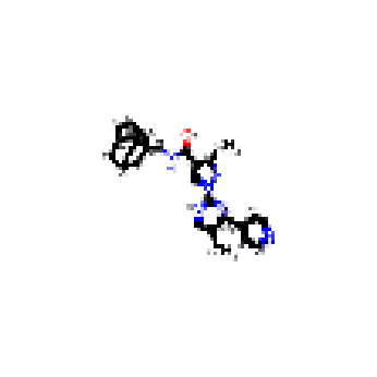 Cc1cnc(-n2cc(C(=O)NCC34CC5CC(CC(C5)C3)C4)c(C)n2)nc1-c1ccncc1